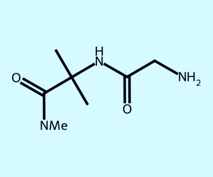 CNC(=O)C(C)(C)NC(=O)CN